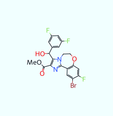 COC(=O)c1nc2n(c1C(O)c1cc(F)cc(F)c1)CCOc1cc(F)c(Br)cc1-2